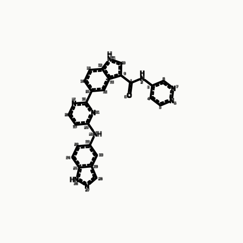 O=C(Nc1ccnnc1)c1c[nH]c2ccc(-c3nccc(Nc4ccc5[nH]ncc5c4)n3)cc12